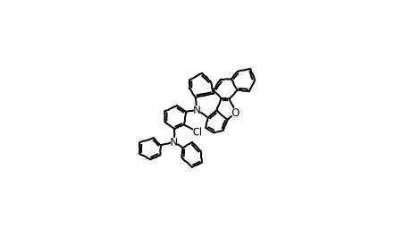 Clc1c(N(c2ccccc2)c2ccccc2)cccc1N(c1ccccc1)c1cccc2oc3c4ccccc4ccc3c12